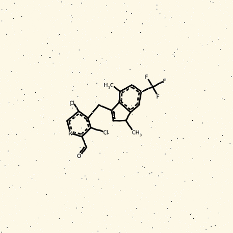 Cc1cc(C(F)(F)F)cc2c1C(Cc1c(Cl)cnc(C=O)c1Cl)=CC2C